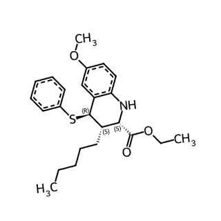 CCCCC[C@H]1[C@@H](C(=O)OCC)Nc2ccc(OC)cc2[C@@H]1Sc1ccccc1